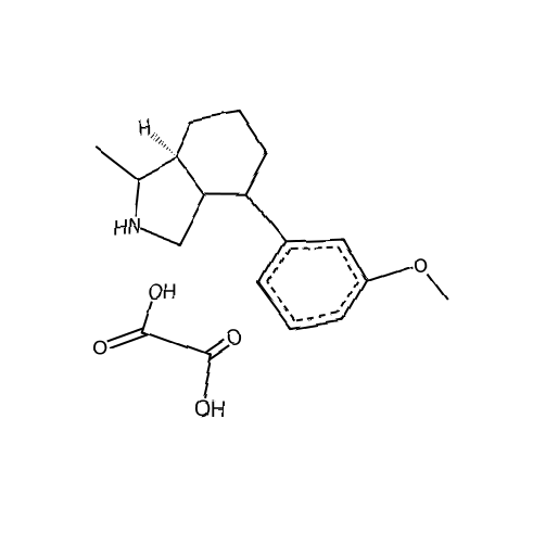 COc1cccc(C2CCC[C@@H]3C(C)NCC23)c1.O=C(O)C(=O)O